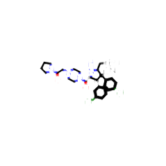 CC(C)(C)CC1N[C@@H](C(=O)N2CCN(CC(=O)N3CCCC3)CC2)[C@H](c2cccc(Cl)c2)[C@@]1(C#N)c1ccc(Cl)cc1